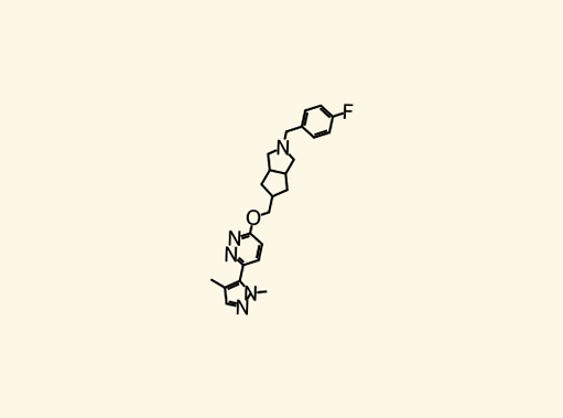 Cc1cnn(C)c1-c1ccc(OCC2CC3CN(Cc4ccc(F)cc4)CC3C2)nn1